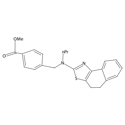 CCCN(Cc1ccc(C(=O)OC)cc1)c1nc2c(s1)CCc1ccccc1-2